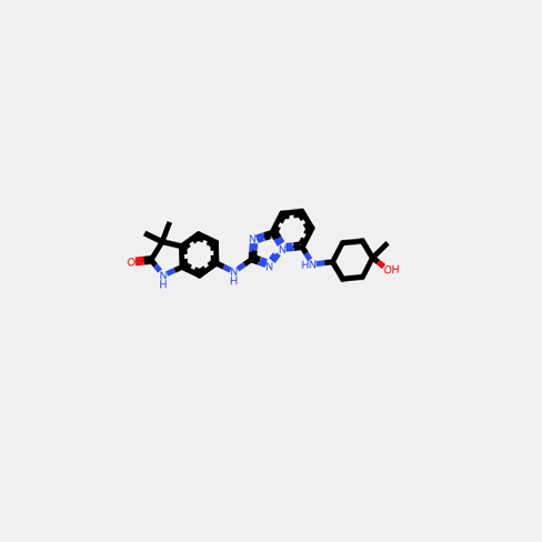 CC1(O)CCC(Nc2cccc3nc(Nc4ccc5c(c4)NC(=O)C5(C)C)nn23)CC1